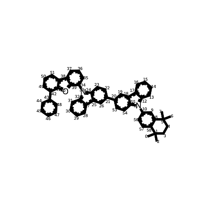 CC1(C)CCC(C)(C)c2cc(-n3c4ccccc4c4cc(-c5ccc6c(c5)c5ccccc5n6-c5cccc6c5oc5c(-c7ccccc7)cccc56)ccc43)ccc21